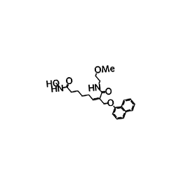 COCCNC(=O)C(=CCCCCC(=O)NO)COc1cccc2ccccc12